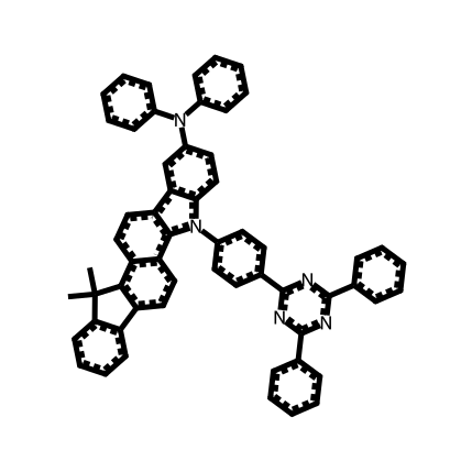 CC1(C)c2ccccc2-c2ccc3c(ccc4c5cc(N(c6ccccc6)c6ccccc6)ccc5n(-c5ccc(-c6nc(-c7ccccc7)nc(-c7ccccc7)n6)cc5)c34)c21